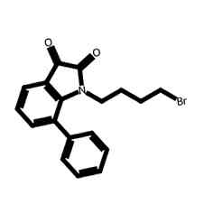 O=C1C(=O)N(CCCCBr)c2c1cccc2-c1ccccc1